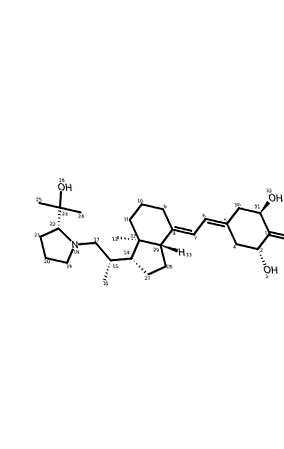 C=C1[C@H](O)CC(=C/C=C2\CCC[C@]3(C)[C@@H]([C@H](C)CN4CCC[C@@H]4C(C)(C)O)CC[C@@H]23)C[C@H]1O